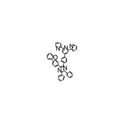 c1ccc(-c2nc(-c3ccc(-c4cc(-c5ccccn5)nc(-c5ccccn5)c4)cc3)c(-c3ccc4c(c3)oc3ccccc34)nc2-c2ccccc2)cc1